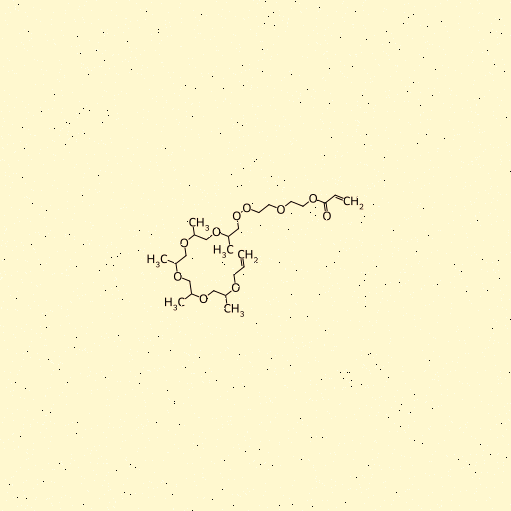 C=CCOC(C)COC(C)COC(C)COC(C)COC(C)COOCCOCCOC(=O)C=C